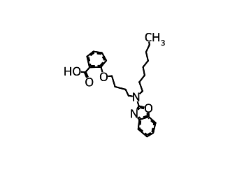 CCCCCCCCN(CCCCOc1ccccc1C(=O)O)c1nc2ccccc2o1